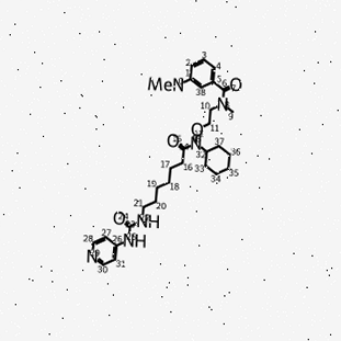 CNc1cccc(C(=O)N(C)CCON(C(=O)CCCCCCNC(=O)Nc2ccncc2)C2CCCCC2)c1